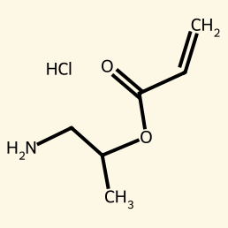 C=CC(=O)OC(C)CN.Cl